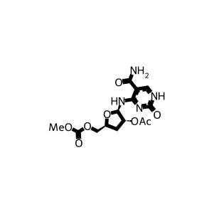 COC(=O)OC[C@@H]1C[C@@H](OC(C)=O)[C@H](Nc2nc(=O)[nH]cc2C(N)=O)O1